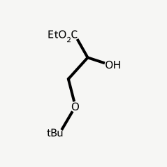 CCOC(=O)C(O)COC(C)(C)C